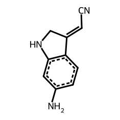 N#CC=C1CNc2cc(N)ccc21